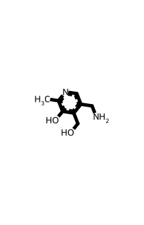 Cc1ncc(CN)c(CO)c1O